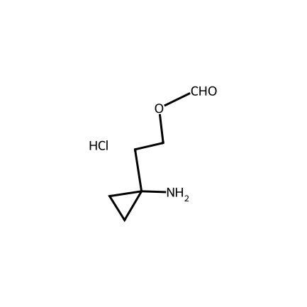 Cl.NC1(CCOC=O)CC1